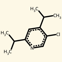 CC(C)c1cc(C(C)C)c(Cl)cn1